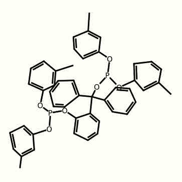 Cc1cccc(OP(Oc2cccc(C)c2)Oc2ccccc2C(OP(Oc2cccc(C)c2)Oc2cccc(C)c2)(c2ccccc2)c2ccccc2)c1